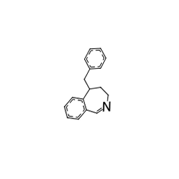 C1=NCCC(Cc2ccccc2)c2ccccc21